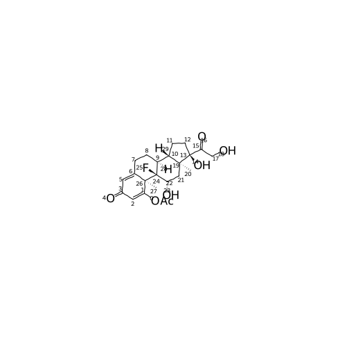 CC(=O)OC1=CC(=O)C=C2CC[C@H]3[C@@H]4CC[C@](O)(C(=O)CO)[C@@]4(C)C[C@H](O)[C@]3(F)[C@]21C